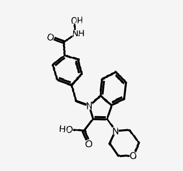 O=C(NO)c1ccc(Cn2c(C(=O)O)c(N3CCOCC3)c3ccccc32)cc1